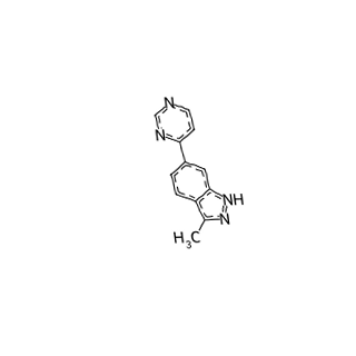 Cc1n[nH]c2cc(-c3ccncn3)ccc12